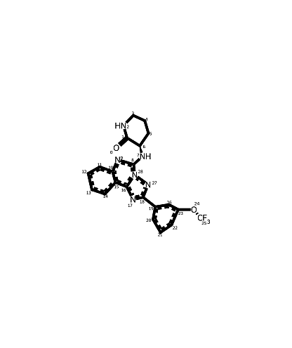 O=C1NCCC[C@H]1Nc1nc2ccccc2c2nc(-c3cccc(OC(F)(F)F)c3)nn12